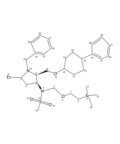 CCC1C[C@H](N(COCC[Si](C)(C)C)S(C)(=O)=O)[C@H](COC2CCC(c3ccccc3)CC2)N1Cc1ccccc1